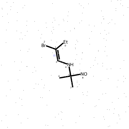 CC/C(Br)=C\NC(C)(C)N=O